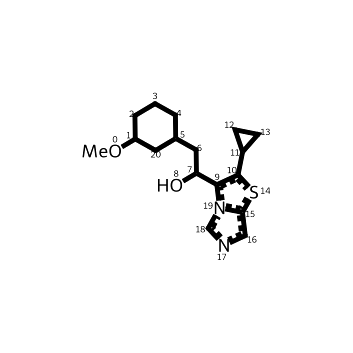 COC1CCCC(CC(O)c2c(C3CC3)sc3cncn23)C1